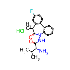 CC1C(=O)N(NC(=O)[C@@H](N)C(C)C)c2ccccc2-c2ccc(F)cc21.Cl